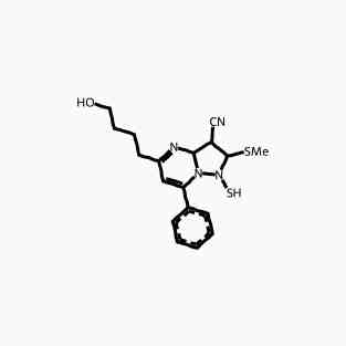 CSC1C(C#N)C2N=C(CCCCO)C=C(c3ccccc3)N2N1S